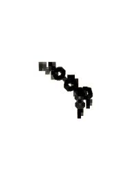 Nc1ccc(-c2ccc(NC[C@]3(c4ncccc4F)C[C@H](F)C3)nn2)cn1